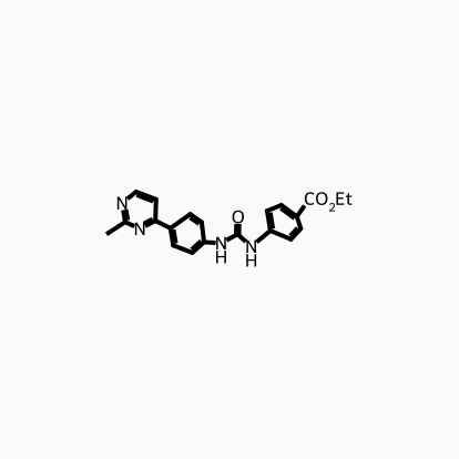 CCOC(=O)c1ccc(NC(=O)Nc2ccc(-c3ccnc(C)n3)cc2)cc1